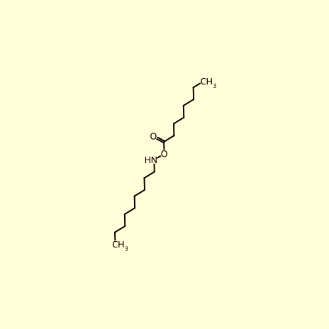 CCCCCCCCCNOC(=O)CCCCCCC